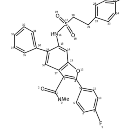 CNC(=O)c1c(-c2ccc(F)cc2)oc2cc(NS(=O)(=O)CCc3ccc(C)cc3)c(-c3ccccc3)cc12